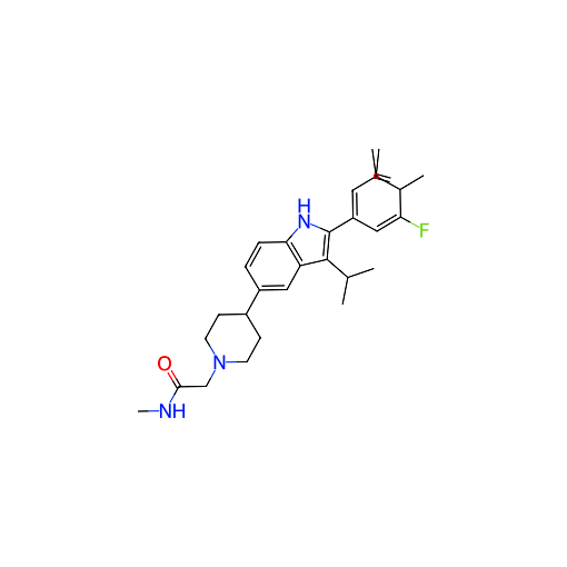 C=C(C)/C=C(\C=C(\F)C(C)CC)c1[nH]c2ccc(C3CCN(CC(=O)NC)CC3)cc2c1C(C)C